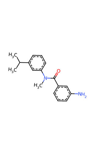 CC(C)c1cccc(N(C)C(=O)c2cccc(N)c2)c1